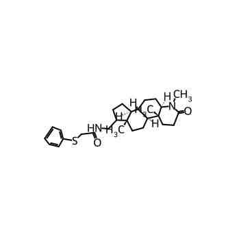 CN1C(=O)CC[C@]2(C)[C@H]3CC[C@]4(C)C(CNC(=O)CSc5ccccc5)CC[C@H]4[C@@H]3CC[C@@H]12